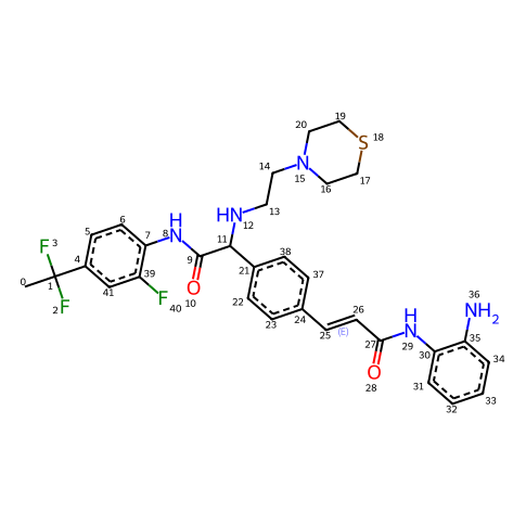 CC(F)(F)c1ccc(NC(=O)C(NCCN2CCSCC2)c2ccc(/C=C/C(=O)Nc3ccccc3N)cc2)c(F)c1